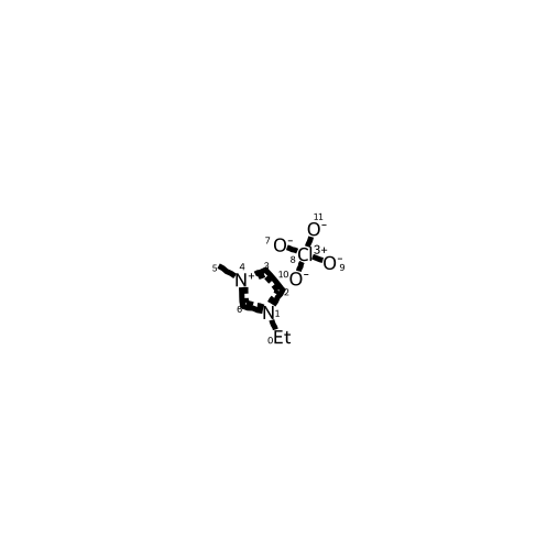 CCn1cc[n+](C)c1.[O-][Cl+3]([O-])([O-])[O-]